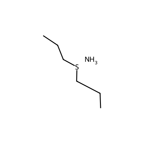 CCCSCCC.N